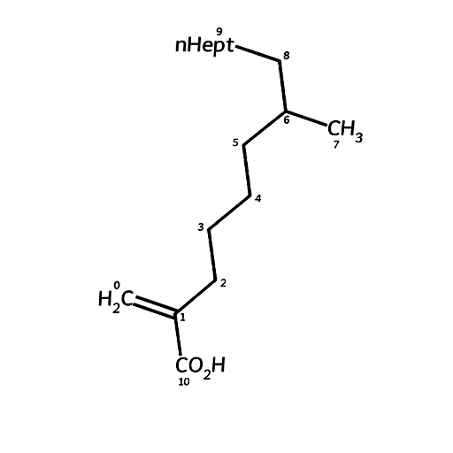 C=C(CCCCC(C)CCCCCCCC)C(=O)O